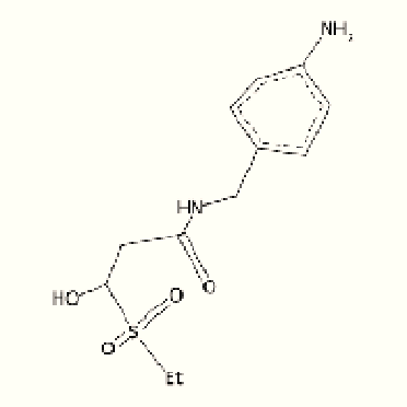 CCS(=O)(=O)C(O)CC(=O)NCc1ccc(N)cc1